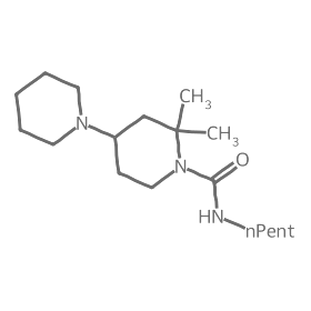 CCCCCNC(=O)N1CCC(N2CCCCC2)CC1(C)C